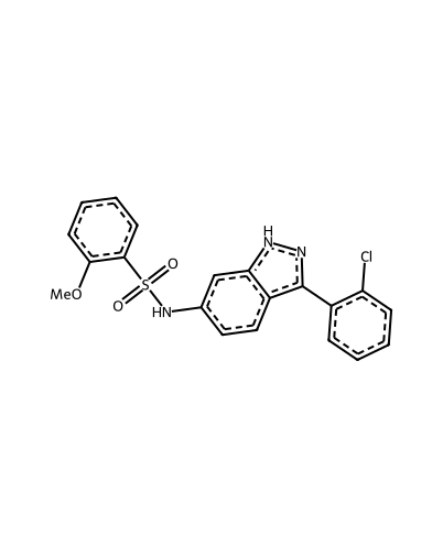 COc1ccccc1S(=O)(=O)Nc1ccc2c(-c3ccccc3Cl)n[nH]c2c1